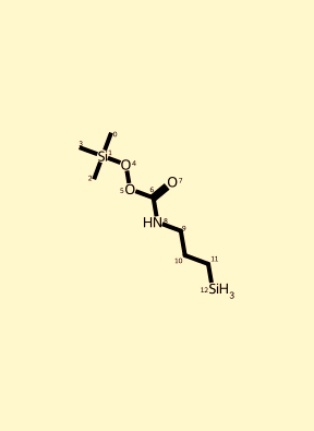 C[Si](C)(C)OOC(=O)NCCC[SiH3]